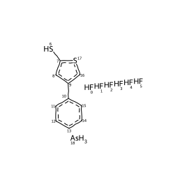 F.F.F.F.F.F.Sc1cc(-c2ccccc2)cs1.[AsH3]